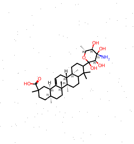 C[C@H]1OC(O)(C2CC[C@@]3(C)C(CC[C@]4(C)[C@@H]3CC=C3[C@@H]5CC(C)(C(=O)O)CC[C@]5(C)CC[C@]34C)C2(C)C)[C@H](O)[C@@](N)(O)[C@@H]1O